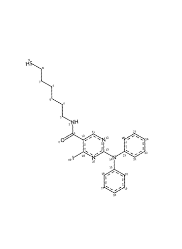 O=C(NCCCCCCS)c1cnc(N(c2ccccc2)c2ccccc2)nc1I